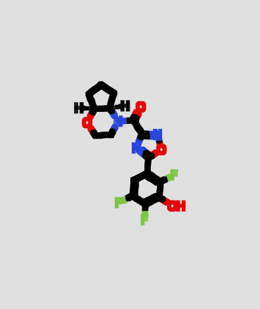 O=C(c1noc(-c2cc(F)c(F)c(O)c2F)n1)N1CCO[C@H]2CCC[C@H]21